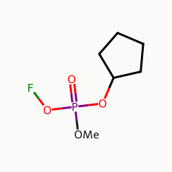 COP(=O)(OF)OC1CCCC1